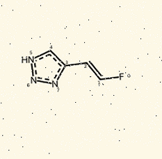 FC=Cc1c[nH]nn1